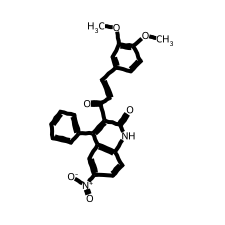 COc1ccc(/C=C/C(=O)c2c(-c3ccccc3)c3cc([N+](=O)[O-])ccc3[nH]c2=O)cc1OC